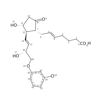 O=C(O)CCCC=CC[C@H]1C(=O)C[C@@H](O)[C@@H]1C=C[C@@H](O)COc1cccc(Cl)c1